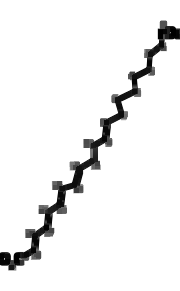 CCCCCCCCCCCCCCCCCC=CC=CC=CC=CC=CC=CC(=O)O